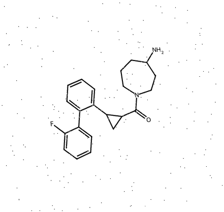 NC1CCCN(C(=O)C2CC2c2ccccc2-c2ccccc2F)CC1